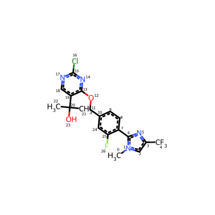 Cn1cc(C(F)(F)F)nc1-c1ccc(COc2nc(Cl)ncc2C(C)(C)O)cc1F